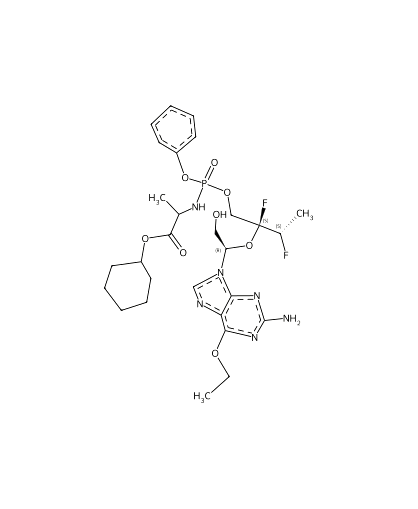 CCOc1nc(N)nc2c1ncn2[C@@H](CO)O[C@](F)(COP(=O)(NC(C)C(=O)OC1CCCCC1)Oc1ccccc1)[C@H](C)F